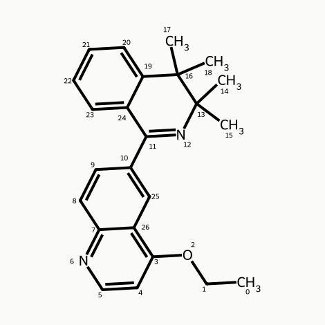 CCOc1ccnc2ccc(C3=NC(C)(C)C(C)(C)c4ccccc43)cc12